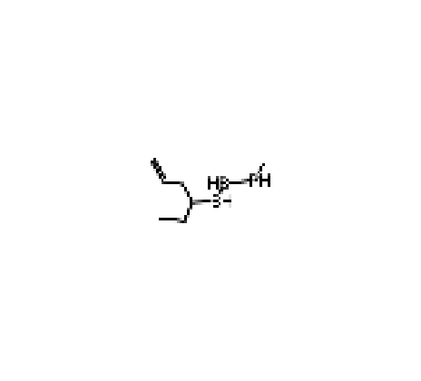 C=CCC(BBPC)CC